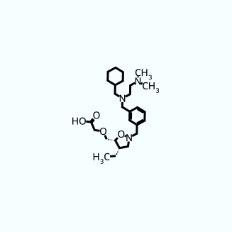 CC[C@H]1CN(Cc2cccc(CN(CCN(C)C)CC3CCCCC3)c2)O[C@H]1COCC(=O)O